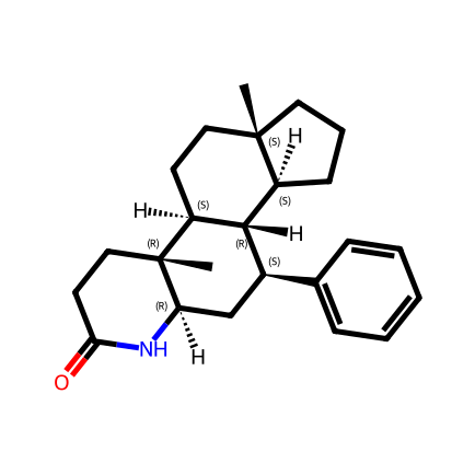 C[C@@]12CCC[C@H]1[C@@H]1[C@@H](c3ccccc3)C[C@H]3NC(=O)CC[C@]3(C)[C@H]1CC2